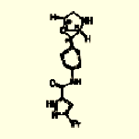 CC(C)c1cc(C(=O)Nc2ccc([C@H]3O[C@@H]4CN[C@H]3C4)cc2)[nH]n1